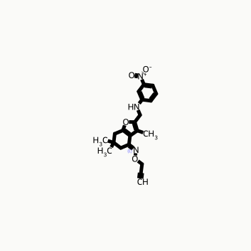 C#CCO/N=C1\CC(C)(C)Cc2oc(CNc3cccc([N+](=O)[O-])c3)c(C)c21